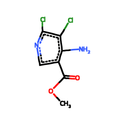 COC(=O)c1cnc(Cl)c(Cl)c1N